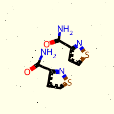 NC(=O)c1ccsn1.NC(=O)c1ccsn1